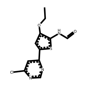 CCOc1cc(-c2cc(Cl)ncn2)sc1NC=O